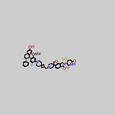 COc1cc(N2CCC3(CC2)CC(CN2CCC4(CC2)COc2c4ccc4c2CN([C@@H]2C(=O)NC(=O)CC2S)C4=O)C3)c(F)cc1[C@@H]1c2ccc(O)cc2CC[C@@H]1c1ccccc1